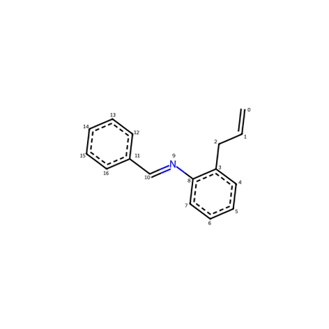 C=CCc1ccccc1N=Cc1ccccc1